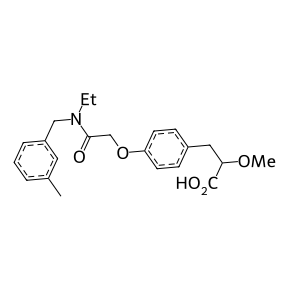 CCN(Cc1cccc(C)c1)C(=O)COc1ccc(CC(OC)C(=O)O)cc1